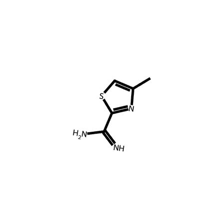 Cc1csc(C(=N)N)n1